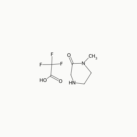 CN1CCNCC1=O.O=C(O)C(F)(F)F